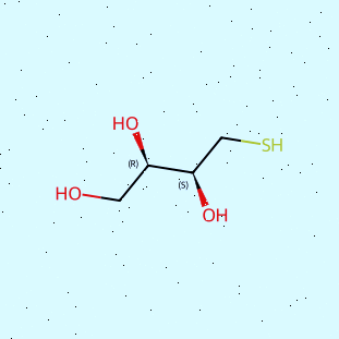 OC[C@@H](O)[C@H](O)CS